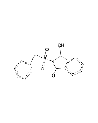 O=S(=O)(Cc1ccccc1)N1C(O)c2ccccc2C1O